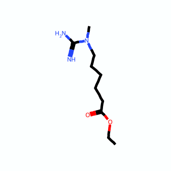 CCOC(=O)CCCCCN(C)C(=N)N